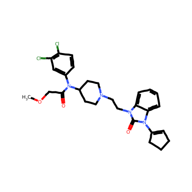 COCC(=O)N(c1ccc(Cl)c(Cl)c1)C1CCN(CCn2c(=O)n(C3=CCCC3)c3ccccc32)CC1